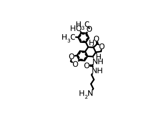 COc1cc(C2c3cc4c(cc3[C@@H](NC(=O)NCCCCN)[C@H]3COC(=O)[C@H]23)OCO4)cc(C)c1O